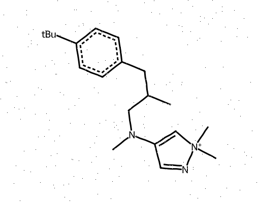 CC(Cc1ccc(C(C)(C)C)cc1)CN(C)C1=C[N+](C)(C)N=C1